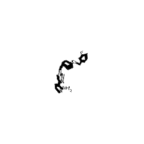 Nc1ncccc1-c1cn(Cc2ccc(OCc3cccc(F)c3)cc2)nn1